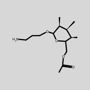 CC(=O)OCC1OC(OCCCN)[C@@H](C)[C@@H](C)[C@H]1C